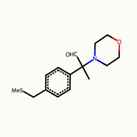 CSCc1ccc(C(C)(C=O)N2CCOCC2)cc1